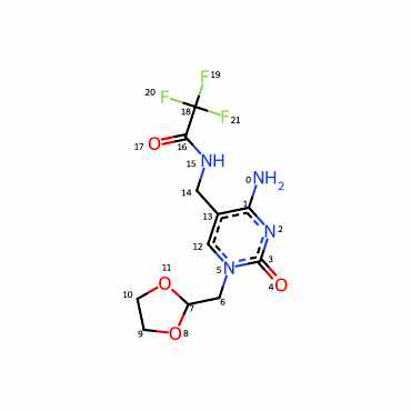 Nc1nc(=O)n(CC2OCCO2)cc1CNC(=O)C(F)(F)F